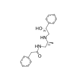 C[C@@H](CNC(=O)Cc1ccccc1)NC[C@H](O)c1ccccc1